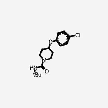 CC(C)(C)NC(=O)N1CCC(Oc2ccc(Cl)cc2)CC1